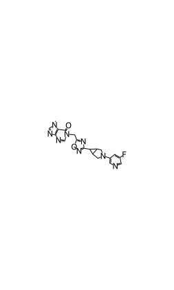 Cn1cnc2ncn(Cc3nc(C4C5CN(c6cncc(F)c6)CC54)no3)c(=O)c21